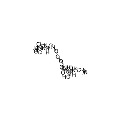 Cc1ncsc1-c1ccc([C@H](C)NC(=O)[C@@H]2C[C@@H](O)CN2C[C@](C=O)(NC(=O)CCOCCOCCOCCN2CCC[C@@H](Nc3ncc(Cl)c(Nc4ccccc4S(=O)(=O)C(C)C)n3)C2)C(C)(C)C)cc1